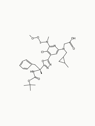 COOSN(C)c1nc(N(CC(=O)O)CC2CC2C)cc(-c2nnc([C@@](C)(Cc3ccccc3)NC(=O)OC(C)(C)C)o2)c1Cl